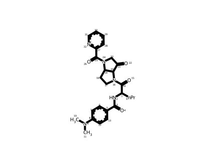 CCCC(NC(=O)c1ccc(N(C)C)cc1)C(=O)N1CCC2C1C(=O)CN2C(=O)c1ccccn1